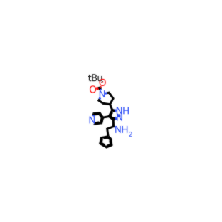 CC(C)(C)OC(=O)N1CCC(c2[nH]nc([C@@H](N)Cc3ccccc3)c2-c2ccncc2)CC1